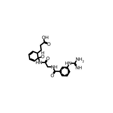 N=C(N)Nc1cccc(C(=O)NCC(=O)NC2(O)C=CC=CC2CCC(=O)O)c1